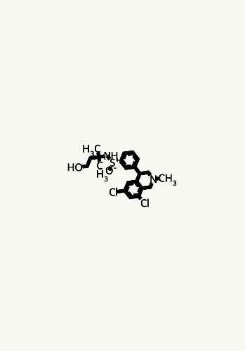 CN1Cc2c(Cl)cc(Cl)cc2C(c2cccc([S+]([O-])NC(C)(C)CCO)c2)C1